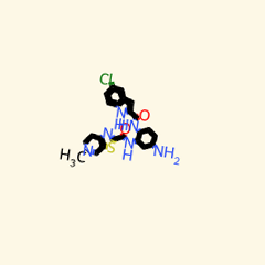 CN1CCc2nc(C(=O)NC3CC(N)CCC3NC(=O)c3cc4cc(Cl)ccc4[nH]3)sc2C1